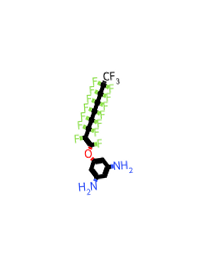 Nc1cc(N)cc(OC(F)=C(F)C(F)(F)C(F)(F)C(F)(F)C(F)(F)C(F)(F)C(F)(F)C(F)(F)F)c1